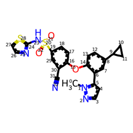 Cn1nccc1-c1cc(C2CC2)ccc1Oc1ccc(S(=O)(=O)Nc2nccs2)cc1C#N